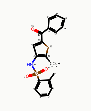 Cc1ccccc1S(=O)(=O)Nc1cc(C(=O)c2ccccc2)sc1C(=O)O